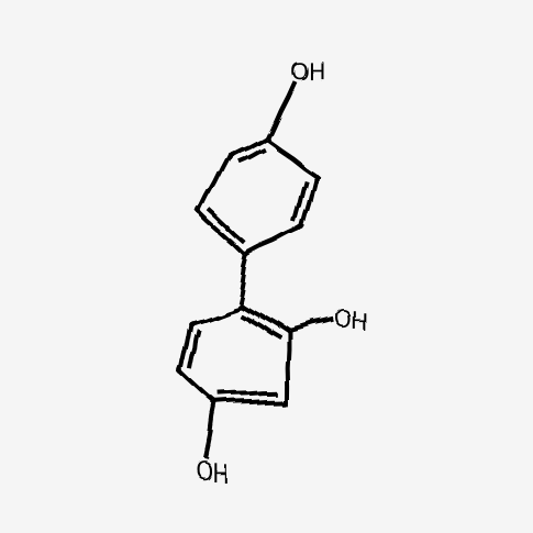 Oc1ccc(-c2ccc(O)cc2O)cc1